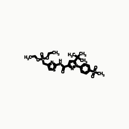 CCOP(=O)(Cc1csc(NC(=O)c2cc(C(C)(C)C)n(-c3ccc(S(C)(=O)=O)cc3)n2)n1)OCC